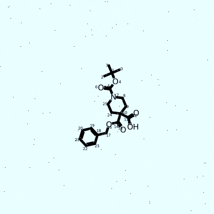 CC(C)(C)OC(=O)N1CCC(C(=O)O)(C(=O)OCc2ccccc2)CC1